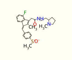 CC1=C(CC(=O)NCCC2CCCN2C)c2c(F)cccc2C1=Cc1ccc([S+](C)[O-])cc1